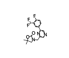 CC1(C)CN(Cc2cncc(-c3ccc(F)c(C(F)F)c3)n2)C(=O)O1